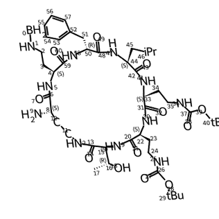 BNCC[C@@H]1NC(=O)[C@@H](N)CCNC(=O)[C@H]([C@@H](C)O)NC(=O)[C@H](CCNC(=O)OC(C)(C)C)NC(=O)[C@H](CCNC(=O)OC(C)(C)C)NC(=O)[C@H](CC(C)C)NC(=O)[C@@H](Cc2ccccc2)NC1=O